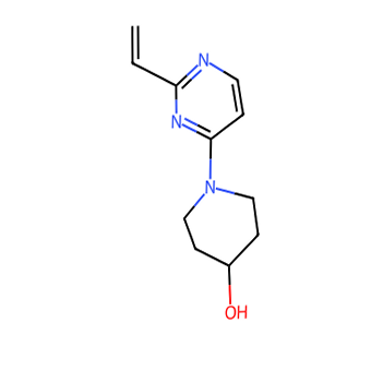 C=Cc1nccc(N2CCC(O)CC2)n1